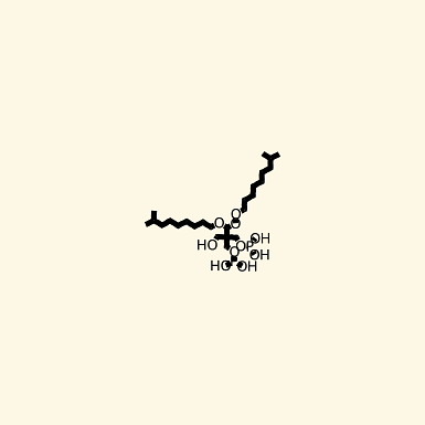 CC(C)CCCCCCCOOC(OCCCCCCCC(C)C)C(CO)(COP(O)O)COP(O)O